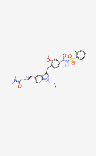 CCCn1cc(Cc2ccc(C(=O)NS(=O)(=O)c3ccccc3C)cc2OC)c2cc(/C=C/CC(=O)N(C)C)ccc21